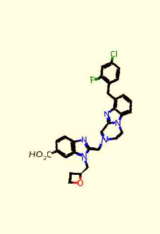 O=C(O)c1ccc2nc(CN3CCn4c(nc5c(Cc6ccc(Cl)cc6F)cccc54)C3)n(C[C@@H]3CCO3)c2c1